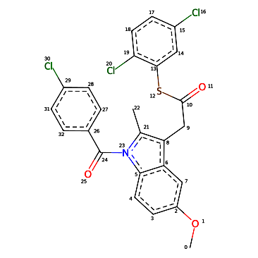 COc1ccc2c(c1)c(CC(=O)Sc1cc(Cl)ccc1Cl)c(C)n2C(=O)c1ccc(Cl)cc1